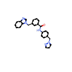 O=C(Nc1ccc(Cn2cccn2)cc1)c1cccc(Cn2cnc3ccccc32)c1